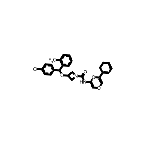 O=C(NC1=COC=C(C2=CC=CCC2)O1)N1CC(OC(c2ccc(Cl)cc2)c2ccccc2C(F)(F)F)C1